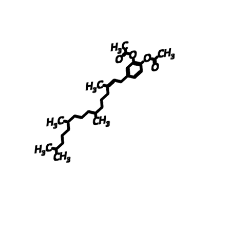 CC(=O)Oc1ccc(CC=C(C)CCCC(C)CCCC(C)CCCC(C)C)cc1OC(C)=O